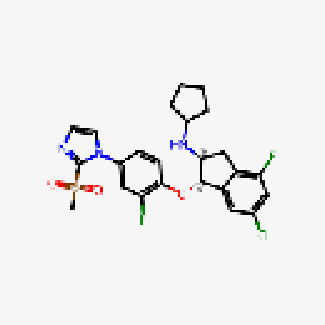 CS(=O)(=O)c1nccn1-c1ccc(O[C@H]2c3cc(Cl)cc(F)c3C[C@@H]2NC2CCCC2)c(F)c1